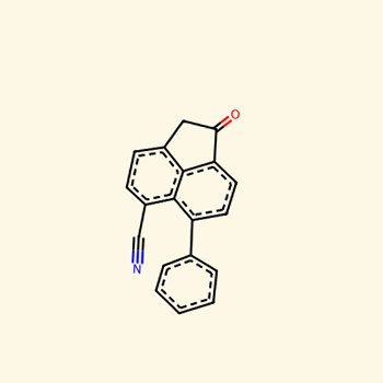 N#Cc1ccc2c3c(ccc(-c4ccccc4)c13)C(=O)C2